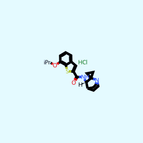 CC(C)Oc1cccc2cc(C(=O)N[C@@H]3C4CCN(CC4)C34CC4)sc12.Cl